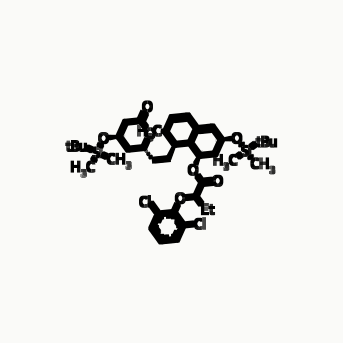 CCC(Oc1c(Cl)cccc1Cl)C(=O)O[C@@H]1C[C@H](O[Si](C)(C)C(C)(C)C)C=C2C=C[C@H](C)[C@H](CC[C@@H]3C[C@@H](O[Si](C)(C)C(C)(C)C)CC(=O)O3)C21